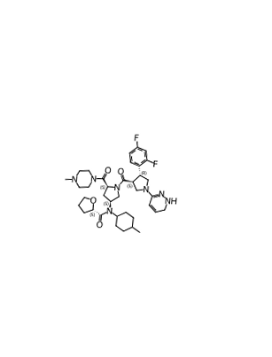 CC1CCC(N(C(=O)[C@@H]2CCCO2)[C@H]2C[C@@H](C(=O)N3CCN(C)CC3)N(C(=O)[C@@H]3CN(C4=NNCC=C4)C[C@H]3c3ccc(F)cc3F)C2)CC1